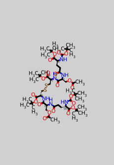 CC(=O)OC[C@H](NC(=O)CC[C@H](NC(=O)OC(C)(C)C)C(=O)OC(C)(C)C)C(=O)N[C@@H](CSSC[C@H](NC(=O)[C@H](COC(C)=O)NC(=O)CC[C@H](NC(=O)OC(C)(C)C)C(=O)OC(C)(C)C)C(=O)OC(C)(C)C)C(=O)OC(C)(C)C